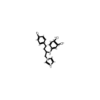 Fc1ccc(CCC(Cn2ccnc2)Sc2ccc(Cl)c(Cl)c2)cc1